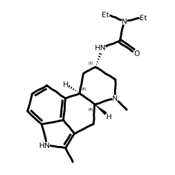 CCN(CC)C(=O)N[C@H]1C[C@@H]2c3cccc4[nH]c(C)c(c34)C[C@H]2N(C)C1